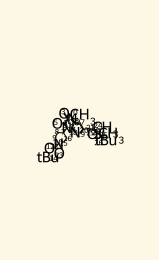 Cn1c(=O)c(=O)n(C2CCN(C(=O)OC(C)(C)C)CC2)c2ncc(CO[Si](C)(C)C(C)(C)C)cc21